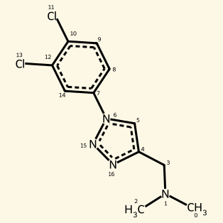 CN(C)Cc1cn(-c2ccc(Cl)c(Cl)c2)nn1